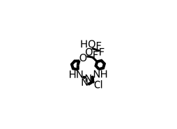 Clc1cnc2nc1Nc1cccc(c1)CCOc1cccc(c1)N2.O=C(O)C(F)(F)F